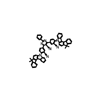 CC1(C)c2ccccc2-c2c1ccc1c2c2ccccc2n1-c1ccc(-c2nc(-c3ccccc3)nc(-c3ccc(-n4c5ccccc5c5c6c(ccc54)C(C)(C)c4ccccc4-6)c(C#N)c3)c2C#N)cc1C#N